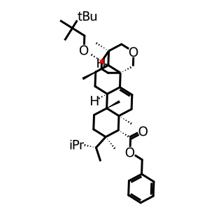 CC(C)[C@@H](C)[C@@]1(C)CC[C@]2(C)[C@H]3CC[C@@H]4[C@@]5(COC[C@]4(C)[C@@H](OCC(C)(C)C(C)(C)C)[C@H](C)C5)C3=CC[C@@]2(C)[C@@H]1C(=O)OCc1ccccc1